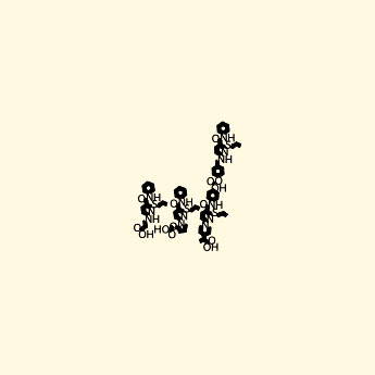 CCCSc1nc(N2CCC(C(C)C(=O)O)CC2)ccc1C(=O)NC1CCCCC1.CCCSc1nc(N2CCC[C@@H]2OC(=O)O)ccc1C(=O)NC1CCCCC1.CCCSc1nc(NCC2CCC(OC(=O)O)CC2)ccc1C(=O)NC1CCCCC1.CCCSc1nc(NCCC(=O)O)ccc1C(=O)NC1CCCCC1